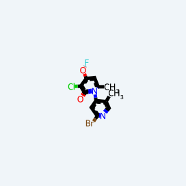 Cc1cnc(Br)cc1-n1c(C)cc(OF)c(Cl)c1=O